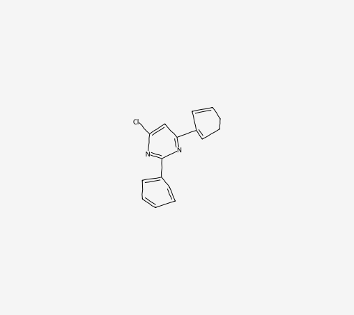 Clc1cc(C2=CCCC=C2)nc(-c2ccccc2)n1